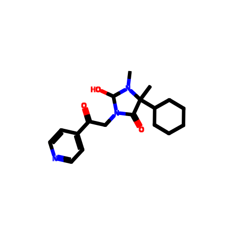 CN1C(O)N(CC(=O)c2ccncc2)C(=O)C1(C)C1CCCCC1